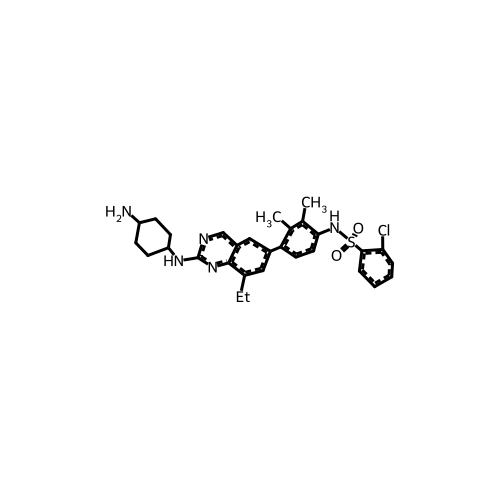 CCc1cc(-c2ccc(NS(=O)(=O)c3ccccc3Cl)c(C)c2C)cc2cnc(NC3CCC(N)CC3)nc12